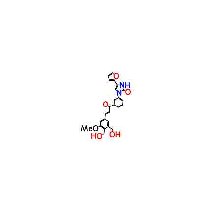 COc1cc(/C=C/C(=O)c2cccc(-n3cc(-c4ccco4)[nH]c3=O)c2)cc(CO)c1CO